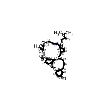 CN(C)C(=O)CO[C@@H]1/C=C/COC(C)(C)C(=O)NS(=O)(=O)c2ccc3c(c2)N(CCCCc2cc(Cl)ccc2CO3)C[C@@H]2CC[C@H]21